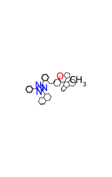 CC1CCC2OC3=C(CCC(Cc4ccccc4-c4nc(-c5ccccc5)nc(C5CCCC6C=CCCC65)n4)=C3)C3(C4C=CC=CC4C4CCCCC43)C12